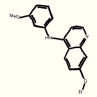 CCOc1ccc2c(Nc3cccc(OC)c3)ccnc2c1